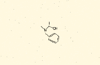 CC(O)N(C)Cc1ccccc1